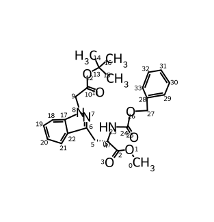 COC(=O)[C@H](Cc1nn(CC(=O)OC(C)(C)C)c2ccccc12)NC(=O)OCc1ccccc1